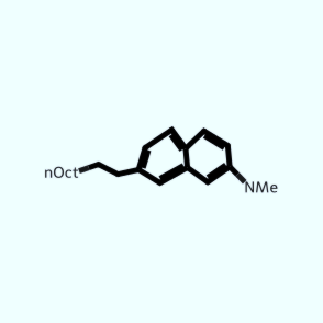 CCCCCCCCCCc1ccc2ccc(NC)cc2c1